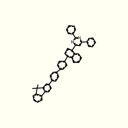 CC1(C)c2ccccc2-c2ccc(-c3ccc(-c4ccc(-c5ccc(-c6cc(-c7ccccc7)nc(-c7ccccc7)n6)c6ccccc56)cc4)cc3)cc21